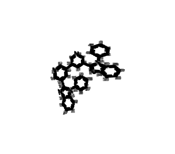 c1ccc(-n2c(-c3cncc(-c4cncc(-c5nc6ccccc6n5-c5ccccc5)c4)c3)nc3ccccc32)cc1